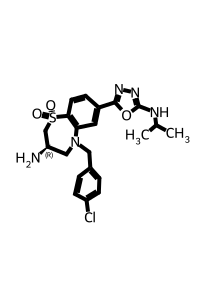 CC(C)Nc1nnc(-c2ccc3c(c2)N(Cc2ccc(Cl)cc2)C[C@@H](N)CS3(=O)=O)o1